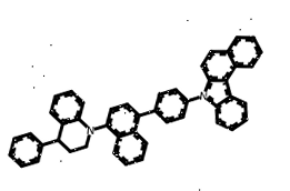 c1ccc(C2CCN(c3ccc(-c4ccc(-n5c6ccccc6c6c7ccccc7ccc65)cc4)c4ccccc34)c3ccccc32)cc1